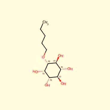 CCCCCO[C@@H]1[C@@H](O)[C@H](O)[C@@H](O)[C@H](O)[C@@H]1O